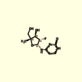 C[C@]1(CO)O[C@@H](Nc2cc[nH]c(=O)n2)[C@@H](F)[C@@H]1O